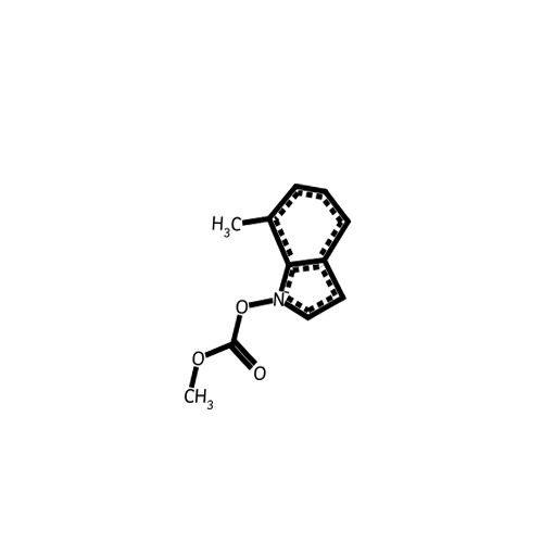 COC(=O)On1ccc2cccc(C)c21